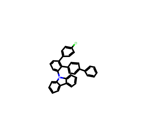 Clc1ccc(-c2cccc(-n3c4ccccc4c4ccccc43)c2-c2ccc(-c3ccccc3)cc2)cc1